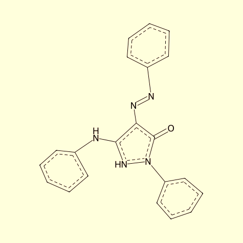 O=c1c(N=Nc2ccccc2)c(Nc2ccccc2)[nH]n1-c1ccccc1